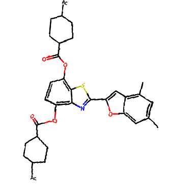 CC(=O)C1CCC(C(=O)Oc2ccc(OC(=O)C3CCC(C(C)=O)CC3)c3sc(-c4cc5c(C)cc(C)cc5o4)nc23)CC1